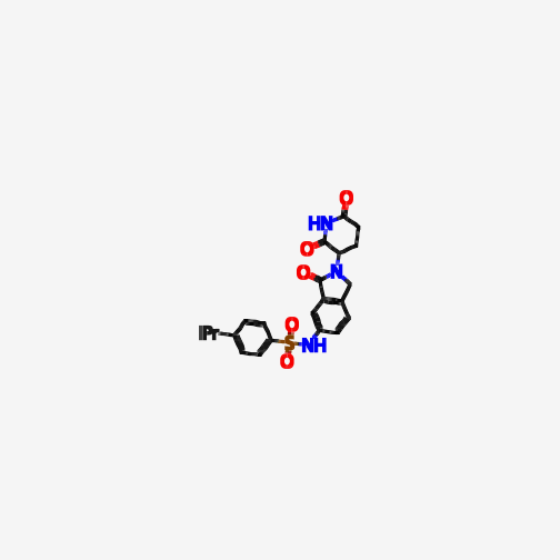 CC(C)c1ccc(S(=O)(=O)Nc2ccc3c(c2)C(=O)N(C2CCC(=O)NC2=O)C3)cc1